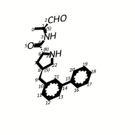 C[C@@H](C=O)NC(=O)[C@H]1C[C@H](Cc2cccc(-c3ccccc3)c2)CN1